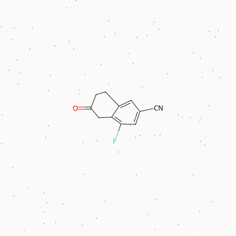 N#Cc1cc(F)c2c(c1)CCC(=O)C2